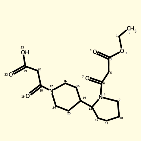 CCOC(=O)CC(=O)N1CC[CH]CC1C1CCN(C(=O)CC(=O)O)CC1